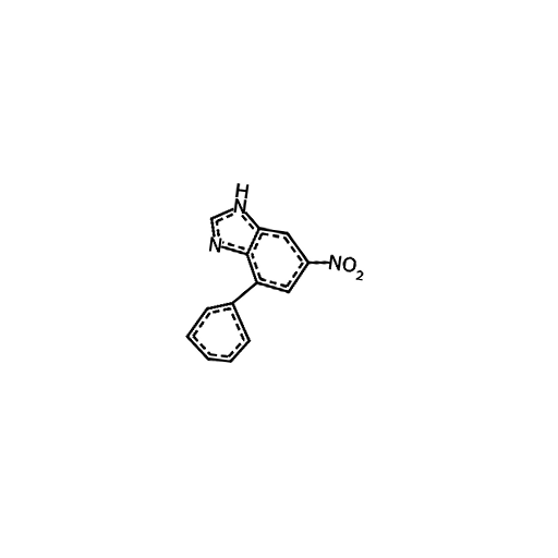 O=[N+]([O-])c1cc(-c2ccccc2)c2nc[nH]c2c1